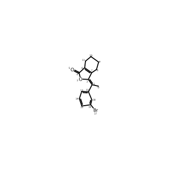 C/C(=C1/OC(=O)C2=C1CCCC2)c1cccc(Br)c1